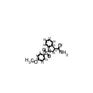 COc1ccc(S(=O)(=O)N2CC(C(N)=O)c3ccc[c]c32)cc1